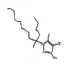 CCCCCCCC(C)(CCCC)n1nc(Br)c(F)c1C